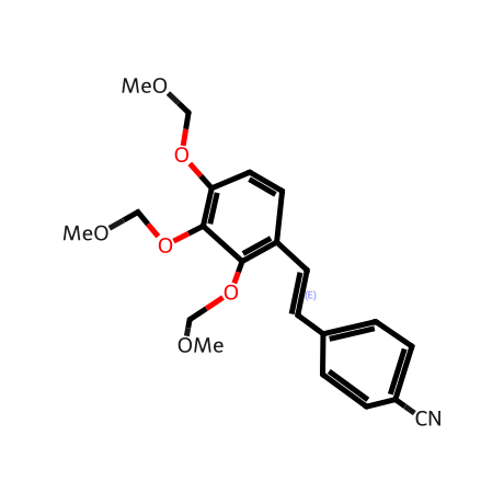 COCOc1ccc(/C=C/c2ccc(C#N)cc2)c(OCOC)c1OCOC